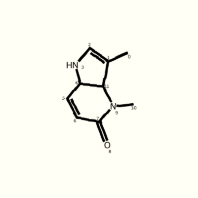 CC1=CNC2C=CC(=O)N(C)C12